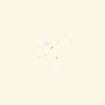 CN(C#N)C(=O)[C@H](CC1CCCCC1)C1(Cl)C=CSC1C(N)=O